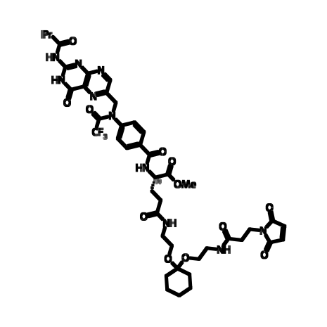 COC(=O)[C@H](CCC(=O)NCCOC1(OCCNC(=O)CCN2C(=O)C=CC2=O)CCCCC1)NC(=O)c1ccc(N(Cc2cnc3nc(NC(=O)C(C)C)[nH]c(=O)c3n2)C(=O)C(F)(F)F)cc1